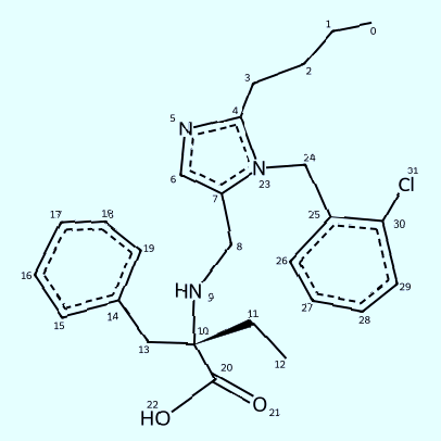 CCCCc1ncc(CN[C@@](CC)(Cc2ccccc2)C(=O)O)n1Cc1ccccc1Cl